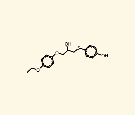 CCOc1ccc(OCC(O)CSc2ccc(O)cc2)cc1